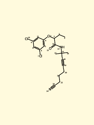 CCC(Oc1cc(Cl)cc(Cl)c1)C(=O)NC(C)(C)C#CCCCC#N